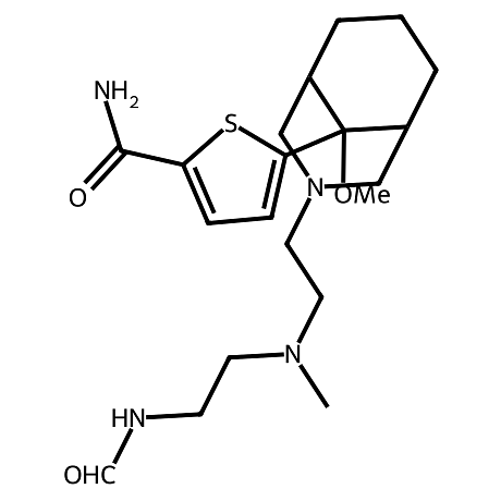 COC1(c2ccc(C(N)=O)s2)C2CCCC1CN(CCN(C)CCNC=O)C2